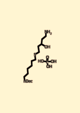 CCCCCCCCCCCCCCCCSCCC(O)CCN.O=P(O)(O)O